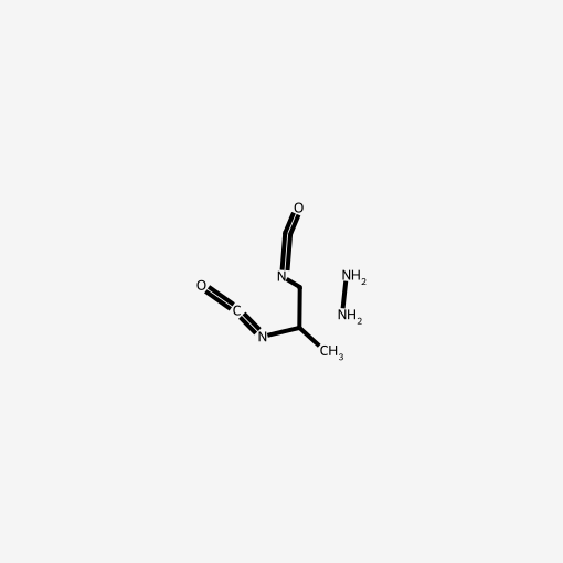 CC(CN=C=O)N=C=O.NN